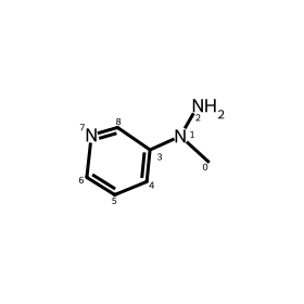 CN(N)c1cccnc1